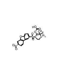 CC1(C)SCCN(S(=O)(=O)c2ccc3oc4cc([N+](=O)[O-])ccc4c3c2)[C@H]1OC(=O)O